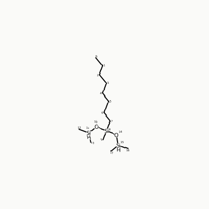 CCCCCCCC[Si](C)(O[SiH](C)C)O[SiH](C)C